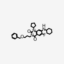 O=c1c2cc(F)c(NC3CCCCC3)cc2n(C2CCCC2)c(=O)n1CCCOCc1ccccc1